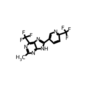 Cc1nc(C(F)(F)F)c2nc(-c3ccc(C(F)(F)F)nc3)[nH]c2n1